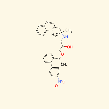 C[C@@H](OC[C@H](O)CNC(C)(C)Cc1ccc2ccccc2c1)c1ccccc1-c1ccc([N+](=O)[O-])cc1